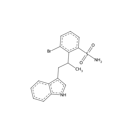 CC(Cc1c[nH]c2ccccc12)c1c(Br)cccc1S(N)(=O)=O